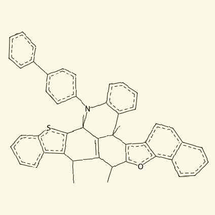 CC1C2=C3C(C)(c4ccccc4N(c4ccc(-c5ccccc5)cc4)C3(C)c3sc4ccccc4c3C2C)c2c1oc1c2ccc2ccccc21